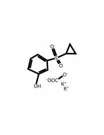 O=C([O-])[O-].O=S(=O)(c1cccc(O)c1)C1CC1.[K+].[K+]